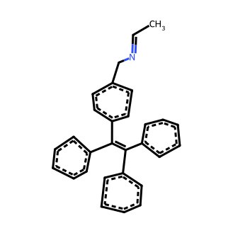 C/C=N/Cc1ccc(C(=C(c2ccccc2)c2ccccc2)c2ccccc2)cc1